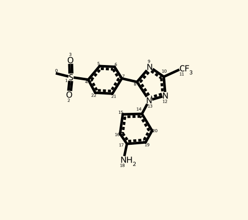 CS(=O)(=O)c1ccc(-c2nc(C(F)(F)F)nn2-c2ccc(N)cc2)cc1